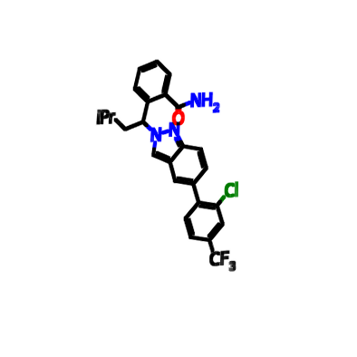 CC(C)CC(c1ccccc1C(N)=O)n1cc2cc(-c3ccc(C(F)(F)F)cc3Cl)ccc2n1